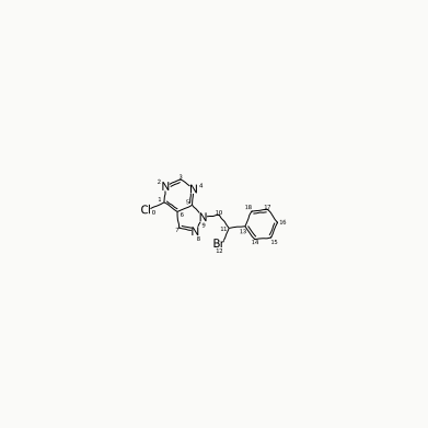 Clc1ncnc2c1cnn2CC(Br)c1ccccc1